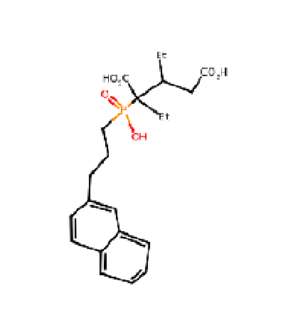 CCC(CC(=O)O)C(CC)(C(=O)O)P(=O)(O)CCCc1ccc2ccccc2c1